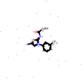 COC(=O)N=c1sc(I)cn1-c1cccc(C(F)(F)F)c1